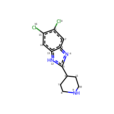 Clc1cc2nc(C3CCNCC3)[nH]c2cc1Cl